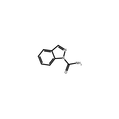 NC(=O)n1ncc2c[c]ccc21